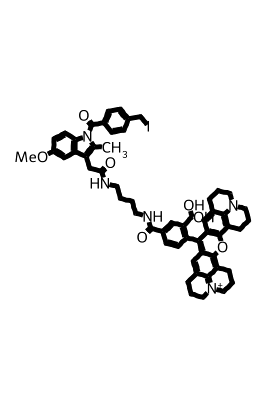 COc1ccc2c(c1)c(CC(=O)NCCCCNC(=O)c1ccc(C3=c4cc5c6c(c4Oc4c3cc3c7c4CCCN7CCC3)CCC[N+]=6CCC5)c(C(O)O)c1)c(C)n2C(=O)c1ccc(CI)cc1